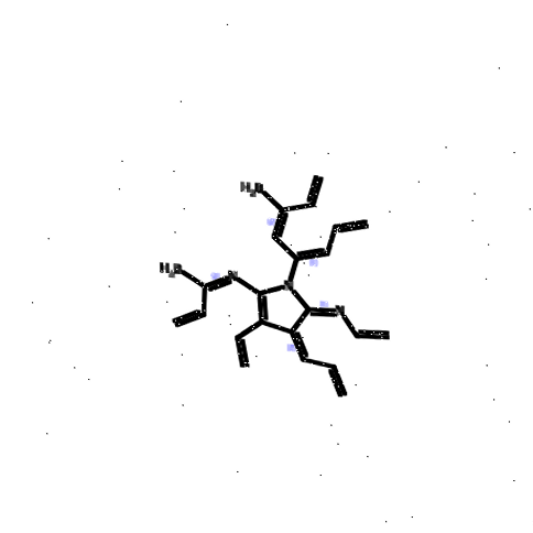 B/C(C=C)=C/C(=C\C=C)N1C(/N=C(/B)C=C)=C(C=C)C(=C/C=C)/C1=N\C=C